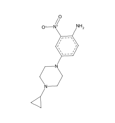 Nc1ccc(N2CCN(C3CC3)CC2)cc1[N+](=O)[O-]